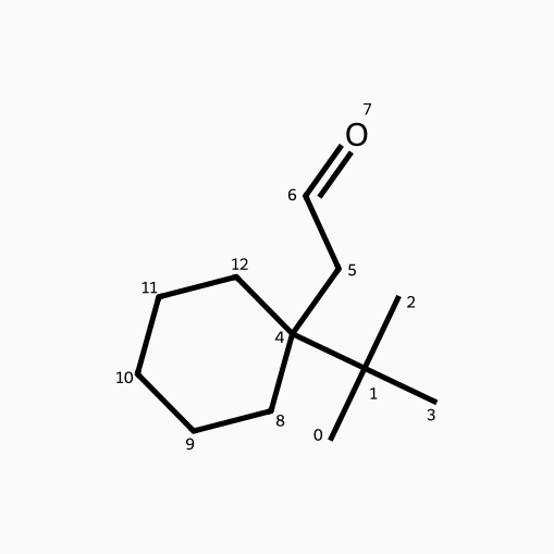 CC(C)(C)C1(CC=O)CCCCC1